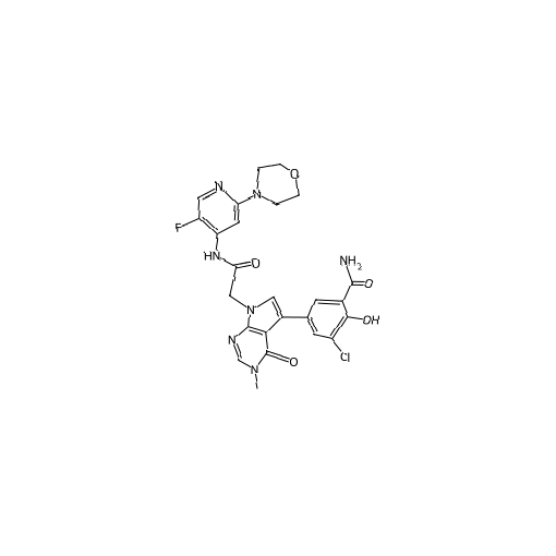 Cn1cnc2c(c(-c3cc(Cl)c(O)c(C(N)=O)c3)cn2CC(=O)Nc2cc(N3CCOCC3)ncc2F)c1=O